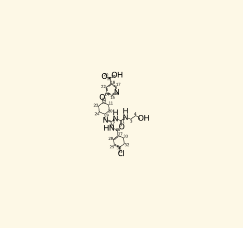 O=C(NCCO)N/C(=N\C1CCC(Oc2cncc(C(=O)O)c2)CC1)NCC1=CC=C(Cl)CC1